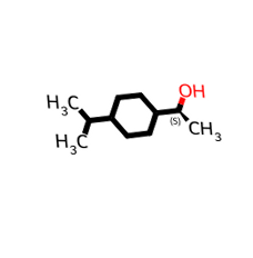 CC(C)C1CCC([C@H](C)O)CC1